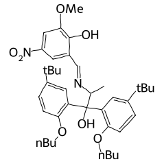 CCCCOc1ccc(C(C)(C)C)cc1C(O)(c1cc(C(C)(C)C)ccc1OCCCC)C(C)N=Cc1cc([N+](=O)[O-])cc(OC)c1O